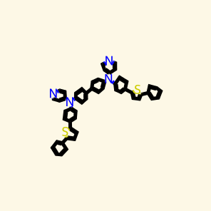 c1ccc(-c2ccc(-c3ccc(N(c4ccncc4)c4ccc(-c5ccc(N(c6ccncc6)c6ccc(-c7ccc(-c8ccccc8)s7)cc6)cc5)cc4)cc3)s2)cc1